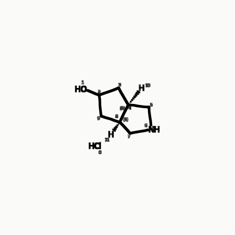 Cl.OC1C[C@H]2CNC[C@H]2C1